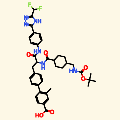 Cc1cc(C(=O)O)ccc1-c1ccc(CC(NC(=O)C2CCC(CNC(=O)OC(C)(C)C)CC2)C(=O)Nc2ccc(-c3nnc(C(F)F)[nH]3)cc2)cc1